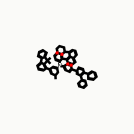 CC1C=C(c2cccc3c2C(C)(C)c2ccccc2-3)C=C(N(c2ccc(-c3ccc(-c4ccccc4)c(-c4ccccc4)c3)cc2)c2ccccc2-c2cccc3cccc(C4CCCCC4)c23)C1